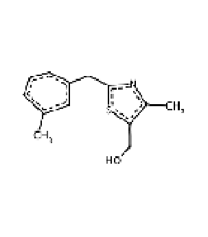 Cc1cccc(Cc2nc(C)c(CO)s2)c1